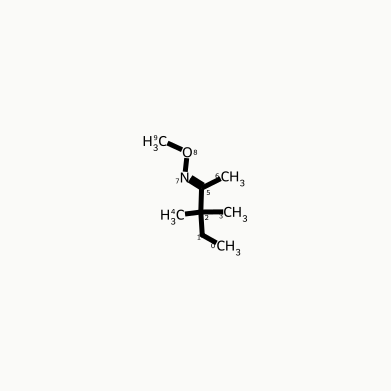 CCC(C)(C)C(C)=NOC